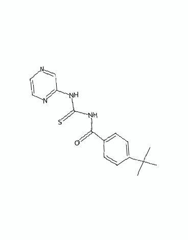 CC(C)(C)c1ccc(C(=O)NC(=S)Nc2cnccn2)cc1